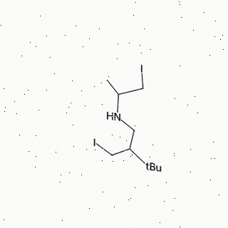 CC(CI)NCC(CI)C(C)(C)C